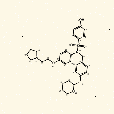 O=S(=O)(c1ccc(O)cc1)N(Cc1ccc(OC2CCCCO2)cc1)c1ccc(OCCN2CCCC2)cc1